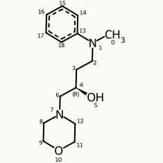 CN(CC[C@@H](O)CN1CCOCC1)c1ccccc1